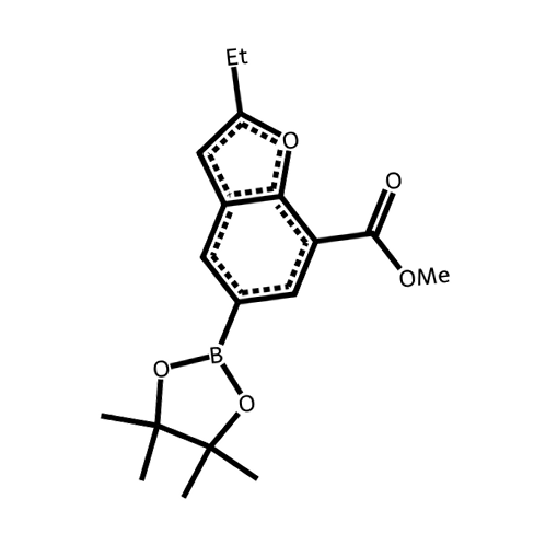 CCc1cc2cc(B3OC(C)(C)C(C)(C)O3)cc(C(=O)OC)c2o1